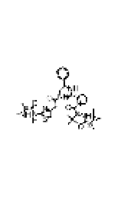 C=C(N[C@H](CNC(=O)Cc1csc(NC(=O)[C@H](C)NC)n1)c1ccccc1)[C@@H]1CCCN1C(=O)[C@@H](NC(=O)[C@H](C)NC)C(C)(C)C